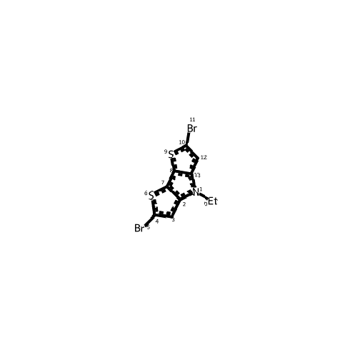 CCn1c2cc(Br)sc2c2sc(Br)cc21